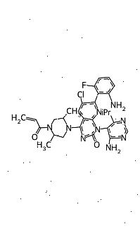 C=CC(=O)N1CC(C)N(c2nc(=O)n(-c3c(N)ncnc3C(C)C)c3nc(-c4c(N)cccc4F)c(Cl)cc23)CC1C